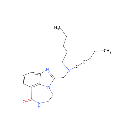 CCCCCN(CCCCC)Cc1nc2cccc3c2n1CCNC3=O